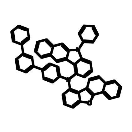 c1ccc(-c2cccc(-c3ccc(N(c4cccc5oc6c7ccccc7ccc6c45)c4cccc5c4c4cc6ccccc6cc4n5-c4ccccc4)cc3)c2)cc1